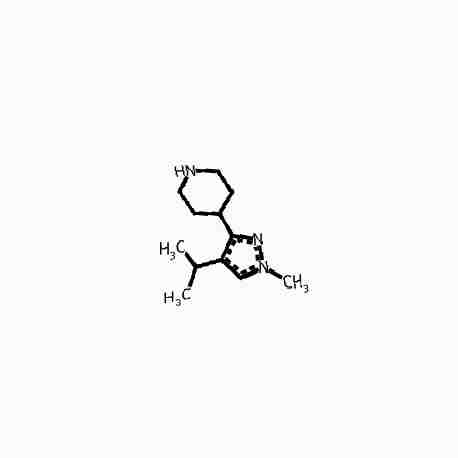 CC(C)c1cn(C)nc1C1CCNCC1